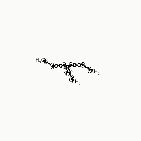 C=CC(=O)OCCCCOC(=O)C1CCC(C2CCC(C(=O)Oc3ccc(OC(=O)C4CCC(C5CCC(C(=O)OCCCCOC(=O)C=C)CC5)CC4)c4c3SC(=C(C#N)C(=O)OCCOC(=O)C=C)S4)CC2)CC1